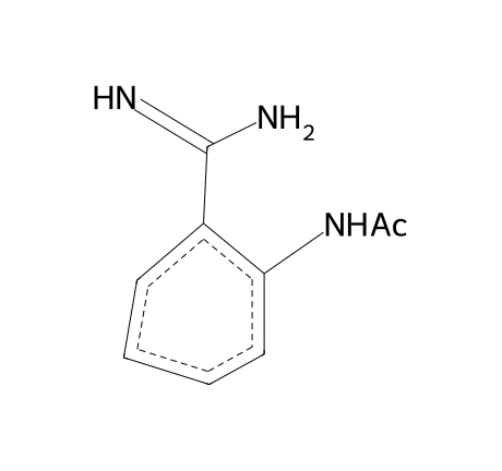 CC(=O)Nc1ccccc1C(=N)N